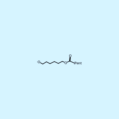 CCCC(C)C(=O)OCCCCCC[O]